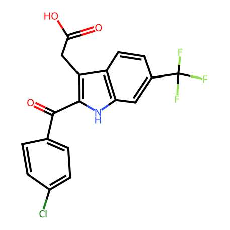 O=C(O)Cc1c(C(=O)c2ccc(Cl)cc2)[nH]c2cc(C(F)(F)F)ccc12